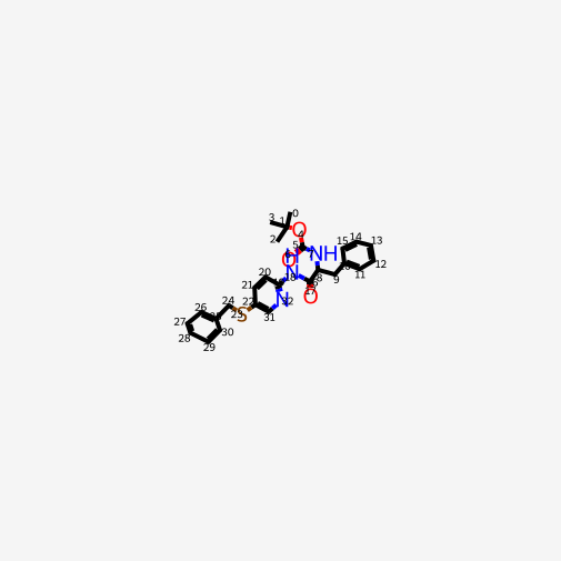 CC(C)(C)OC(=O)NC(Cc1ccccc1)C(=O)Nc1ccc(SCc2ccccc2)cn1